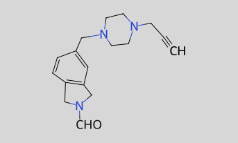 C#CCN1CCN(Cc2ccc3c(c2)CN(C=O)C3)CC1